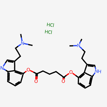 CN(C)CCc1c[nH]c2cccc(OC(=O)CCCC(=O)Oc3cccc4[nH]cc(CCN(C)C)c34)c12.Cl.Cl